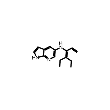 C=CC(Nc1cnc2[nH]ccc2c1)=C(CC)CC